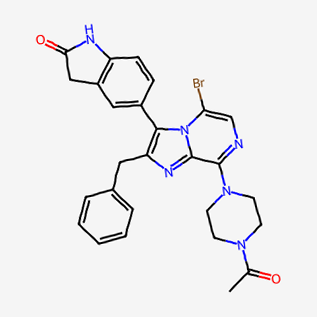 CC(=O)N1CCN(c2ncc(Br)n3c(-c4ccc5c(c4)CC(=O)N5)c(Cc4ccccc4)nc23)CC1